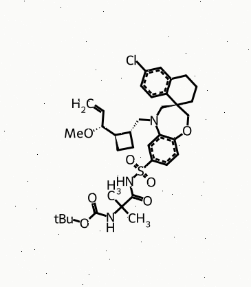 C=C[C@@H](OC)[C@@H]1CC[C@H]1CN1C[C@@]2(CCCc3cc(Cl)ccc32)COc2ccc(S(=O)(=O)NC(=O)C(C)(C)NC(=O)OC(C)(C)C)cc21